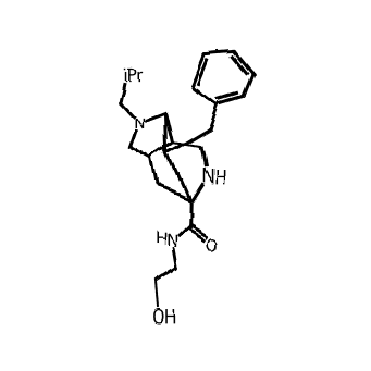 CC(C)CN1CC2CC3(C(=O)NCCO)NCC2C1C3Cc1ccccc1